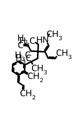 C=C/C=c1/cccc(C(C)(C)CC(CC)(C(/C=C\C)=C\NC)C(C)C=C)c1=C